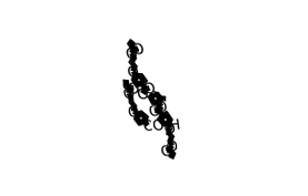 C=CC(=O)OCCCOc1ccc(C(=O)O)cc1.C=CC(=O)OCCCOc1ccc(C(=O)Oc2ccc(OC(=O)c3ccc(OCCCOC(=O)C=C)cc3)c(C)c2)cc1